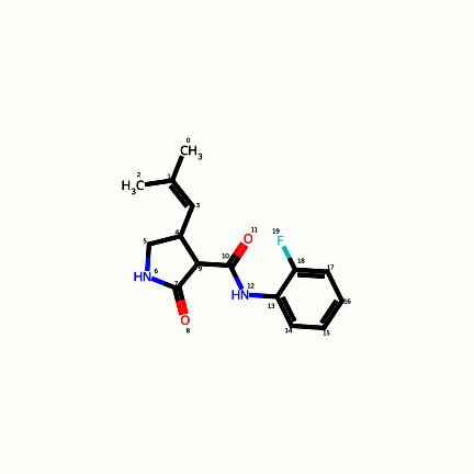 CC(C)=CC1CNC(=O)C1C(=O)Nc1ccccc1F